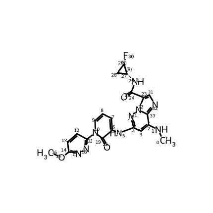 CNc1cc(Nc2cccn(-c3ccc(OC)nn3)c2=O)nn2c(C(=O)N[C@@H]3C[C@@H]3F)cnc12